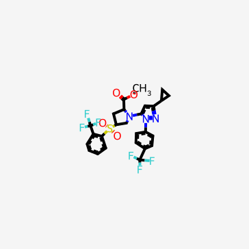 COC(=O)C1CC(S(=O)(=O)c2ccccc2C(F)(F)F)CN1c1cc(C2CC2)nn1-c1ccc(C(F)(F)F)cc1